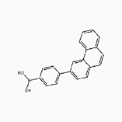 OB(O)c1ccc(-c2ccc3ccc4ccccc4c3c2)cc1